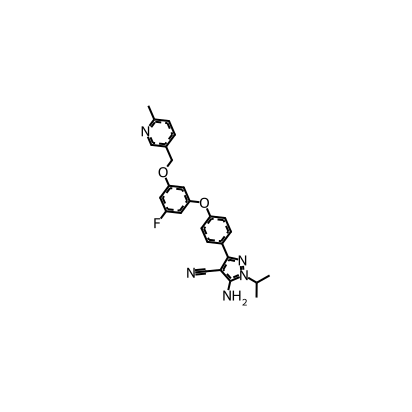 Cc1ccc(COc2cc(F)cc(Oc3ccc(-c4nn(C(C)C)c(N)c4C#N)cc3)c2)cn1